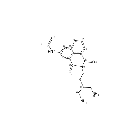 CC(=O)Nc1cc2c3c(cccc3c1)C(=O)N(CCC(CN)CN)C2=O